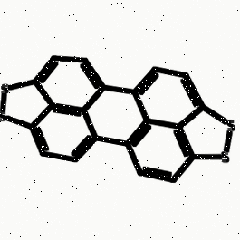 c1cc2c3ccc4c5c(ccc(c6ccc7c(c1SS7)c26)c53)SS4